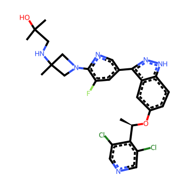 C[C@@H](Oc1ccc2[nH]nc(-c3cnc(N4CC(C)(NCC(C)(C)O)C4)c(F)c3)c2c1)c1c(Cl)cncc1Cl